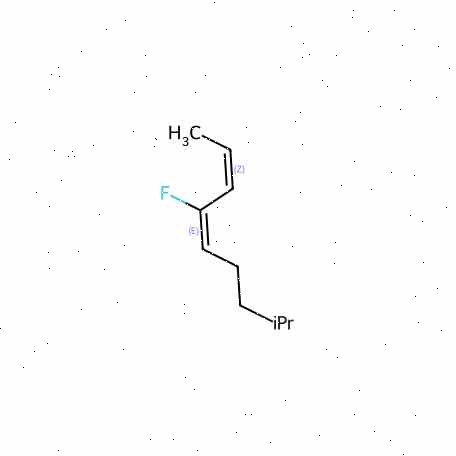 C/C=C\C(F)=C/CCC(C)C